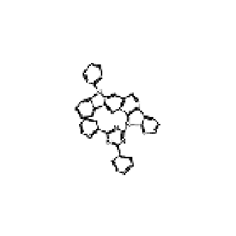 c1ccc(-c2nc(-c3ccccc3)nc(-n3c4ccccc4c4ccc5cc6c(cc5c43)c3ccccc3n6-c3ccccc3)n2)cc1